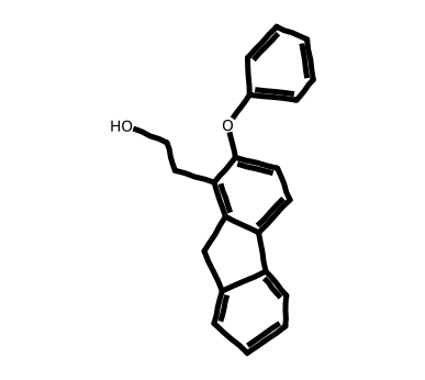 OCCc1c(Oc2ccccc2)ccc2c1Cc1ccccc1-2